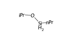 CCC[SiH2]OC(C)C